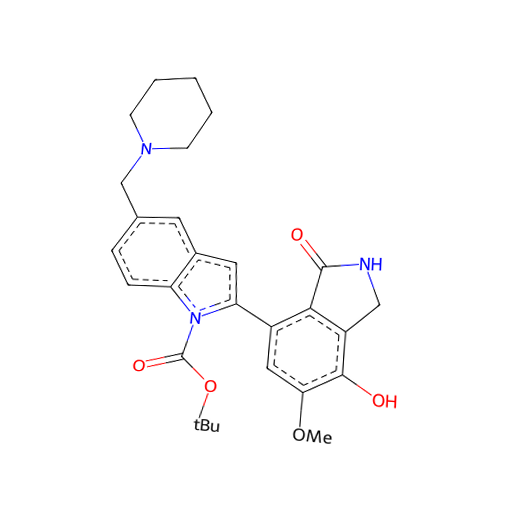 COc1cc(-c2cc3cc(CN4CCCCC4)ccc3n2C(=O)OC(C)(C)C)c2c(c1O)CNC2=O